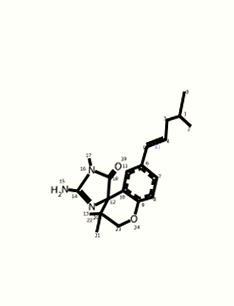 CC(C)C/C=C/c1ccc2c(c1)C1(N=C(N)N(C)C1=O)C(C)(C)CO2